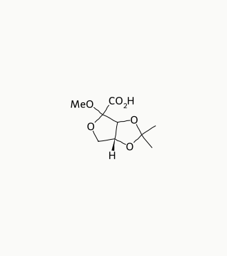 COC1(C(=O)O)OC[C@H]2OC(C)(C)OC21